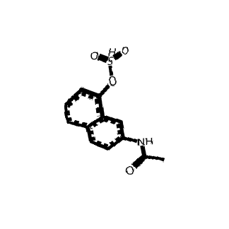 CC(=O)Nc1ccc2cccc(O[SH](=O)=O)c2c1